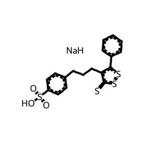 O=S(=O)(O)c1ccc(CCCc2c(-c3ccccc3)ssc2=S)cc1.[NaH]